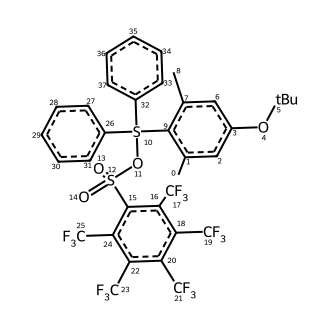 Cc1cc(OC(C)(C)C)cc(C)c1S(OS(=O)(=O)c1c(C(F)(F)F)c(C(F)(F)F)c(C(F)(F)F)c(C(F)(F)F)c1C(F)(F)F)(c1ccccc1)c1ccccc1